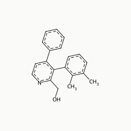 Cc1cccc(-c2c(-c3ccccc3)ccnc2CO)c1C